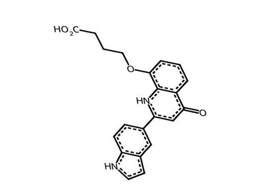 O=C(O)CCCOc1cccc2c(=O)cc(-c3ccc4[nH]ccc4c3)[nH]c12